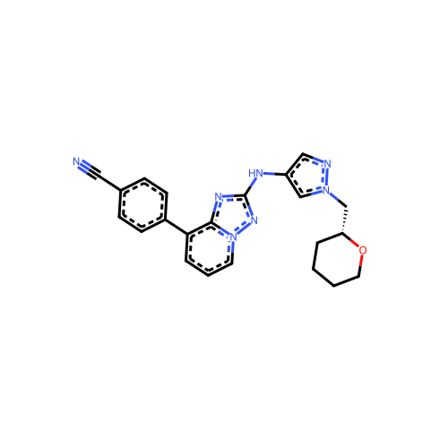 N#Cc1ccc(-c2cccn3nc(Nc4cnn(C[C@H]5CCCCO5)c4)nc23)cc1